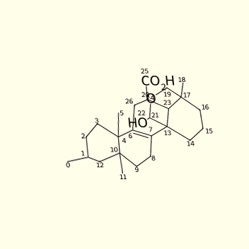 CC1CCC2(C)C3=C(CCC2(C)C1)C12CCCC(C)(COC1O)C2C(C(=O)O)C3